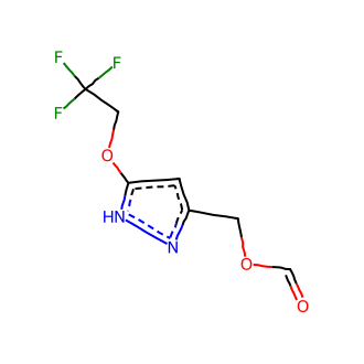 O=COCc1cc(OCC(F)(F)F)[nH]n1